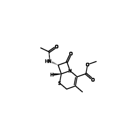 COC(=O)C1=C(C)CS[C@@H]2[C@H](NC(C)=O)C(=O)N12